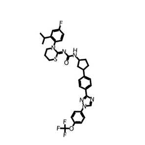 CC(C)c1cc(F)ccc1N1CCCS/C1=N\C(=O)NC1CCC(c2ccc(-c3ncn(-c4ccc(OC(F)(F)F)cc4)n3)cc2)C1